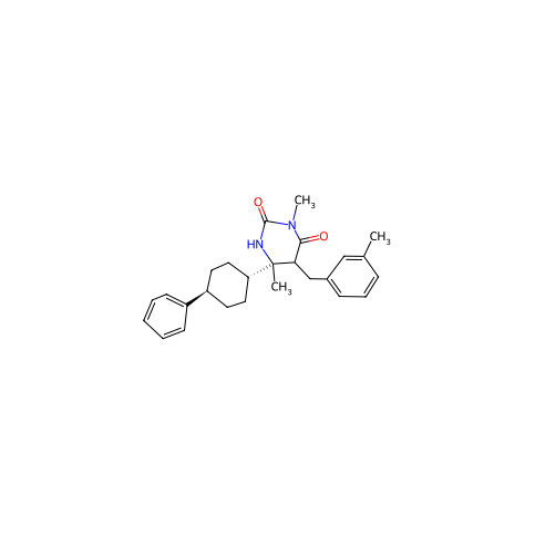 Cc1cccc(CC2C(=O)N(C)C(=O)NC2(C)[C@H]2CC[C@H](c3ccccc3)CC2)c1